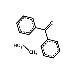 CS(=O)(=O)O.O=C(c1ccccc1)c1ccccc1